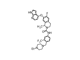 CCN1CCN(Cc2ccc(NC(=O)N3CCc4cc(F)c(Oc5ccnc6[nH]ccc56)cc4C3C)cc2C(F)(F)F)CC1